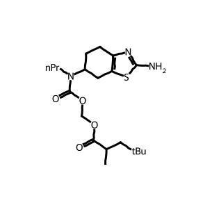 CCCN(C(=O)OCOC(=O)C(C)CC(C)(C)C)C1CCc2nc(N)sc2C1